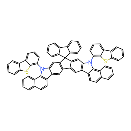 c1ccc2c(c1)-c1ccccc1C21c2cc3c(cc2-c2cc4c5ccc6ccccc6c5n(-c5cccc6c5sc5ccccc56)c4cc21)c1ccc2ccccc2c1n3-c1cccc2c1sc1ccccc12